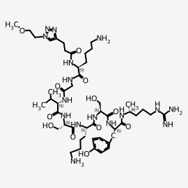 COCCn1cc(CCC(=O)N[C@@H](CCCCN)C(=O)NCC(=O)N[C@H](C(=O)N[C@@H](CO)C(=O)N[C@@H](CCCCN)C(=O)N[C@@H](CO)C(=O)N[C@@H](Cc2ccc(O)cc2)C(=O)N[C@H](C)CCCNC(=N)N)C(C)C)nn1